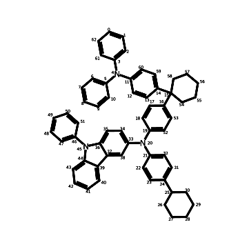 c1ccc(N(c2ccccc2)c2ccc(C3(c4ccc(N(c5ccc(C6CCCCC6)cc5)c5ccc6c(c5)c5ccccc5n6-c5ccccc5)cc4)CCCCC3)cc2)cc1